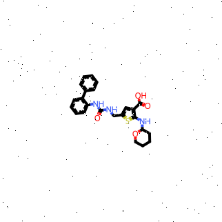 O=C(NCc1cc(C(=O)O)c(NC2CCCCO2)s1)Nc1ccccc1-c1ccccc1